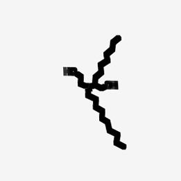 CCCCCCCCCCN(CCO)C(CO)CCCCCCCC